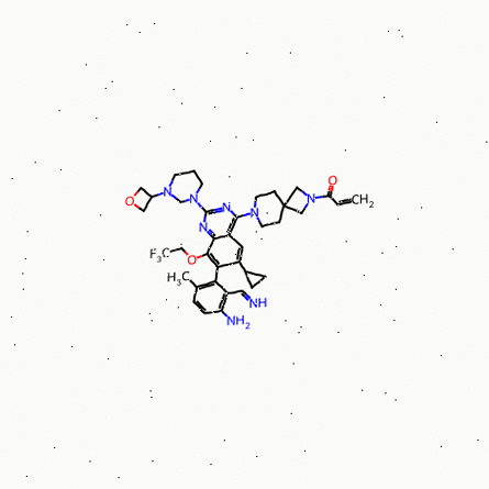 C=CC(=O)N1CC2(CCN(c3nc(N4CCCN(C5COC5)C4)nc4c(OCC(F)(F)F)c(-c5c(C)ccc(N)c5C=N)c(C5CC5)cc34)CC2)C1